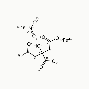 O=C([O-])CC(O)(CC(=O)[O-])C(=O)[O-].O=[N+]([O-])[O-].[Fe+4]